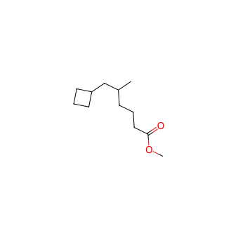 COC(=O)CCCC(C)CC1CCC1